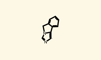 [c]1ncn2c1-c1ccccc1C2